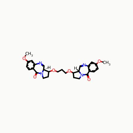 COc1ccc2c(c1)N=C[C@H]1C(OCCCOC3CCN4C(=O)c5ccc(OC)cc5N=C[C@@H]34)CCN1C2=O